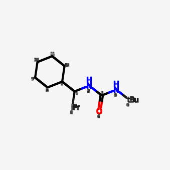 CC(C)C(NC(=O)NC(C)(C)C)C1CCCCC1